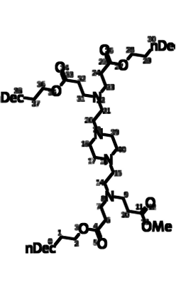 CCCCCCCCCCCCOC(=O)CCN(CCC(=O)OC)CCN1CCN(CCN(CCC(=O)OCCCCCCCCCCCC)CCC(=O)OCCCCCCCCCCCC)CC1